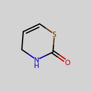 O=C1NCC=CS1